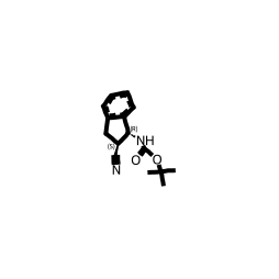 CC(C)(C)OC(=O)N[C@H]1c2ccccc2C[C@@H]1C#N